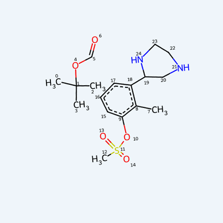 CC(C)(C)OC=O.Cc1c(OS(C)(=O)=O)cccc1C1CNCCN1